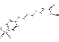 CC(C)(C)OC(=O)NCCCCCCc1ccc(S(=O)(=O)Cl)cc1